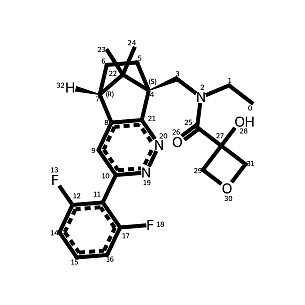 CCN(C[C@@]12CC[C@@H](c3cc(-c4c(F)cccc4F)nnc31)C2(C)C)C(=O)C1(O)COC1